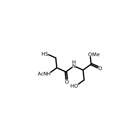 COC(=O)C(CO)NC(=O)C(CS)NC(C)=O